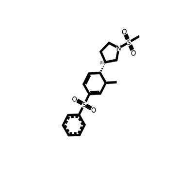 CC1C=C(S(=O)(=O)c2ccccc2)C=CC1[C@@H]1CCN(S(C)(=O)=O)C1